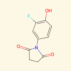 O=C1CCC(=O)N1c1ccc(O)c(F)c1